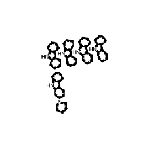 c1ccc2c(c1)[nH]c1ccccc12.c1ccc2c(c1)[nH]c1ccccc12.c1ccc2c(c1)[nH]c1ccccc12.c1ccc2c(c1)[nH]c1ccccc12.c1ccc2c(c1)[nH]c1ccccc12.c1ccncc1